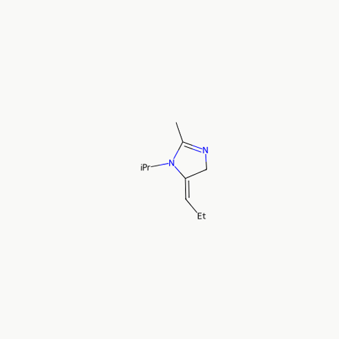 CC/C=C1\CN=C(C)N1C(C)C